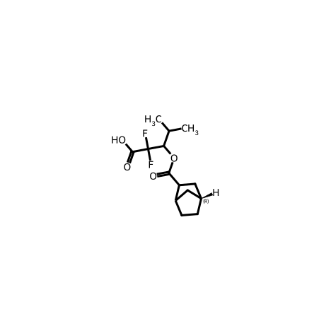 CC(C)C(OC(=O)C1C[C@@H]2CCC1C2)C(F)(F)C(=O)O